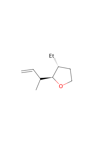 C=CC(C)[C@@H]1OCC[C@H]1CC